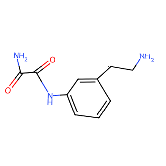 NC[CH]c1cccc(NC(=O)C(N)=O)c1